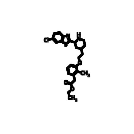 CCOC(=O)Cc1cccc(OCCC2CCNC(c3nc4ccc(Cl)cc4s3)C2)c1C